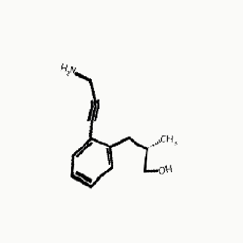 C[C@H](CO)Cc1ccccc1C#CCN